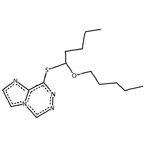 CCCCCOC(CCCC)Sc1nncn2ccnc12